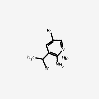 Br.CC(Br)c1cc(Br)cnc1N